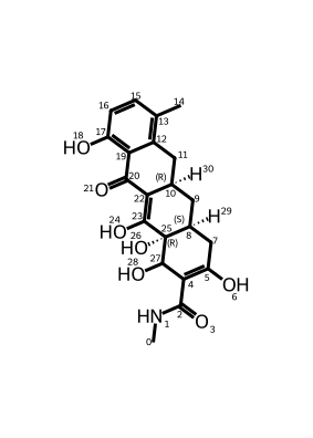 CNC(=O)C1=C(O)C[C@@H]2C[C@@H]3Cc4c(C)ccc(O)c4C(=O)C3=C(O)[C@]2(O)C1O